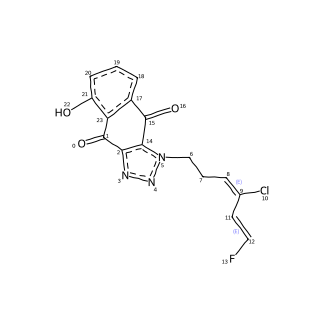 O=C1c2nnn(CC/C=C(Cl)\C=C\F)c2C(=O)c2cccc(O)c21